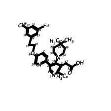 Cc1ncc(-c2ccc(OCCc3cc(F)cc(Cl)c3)cn2)c(N2CCC(C)(C)CC2)c1CC(=O)O